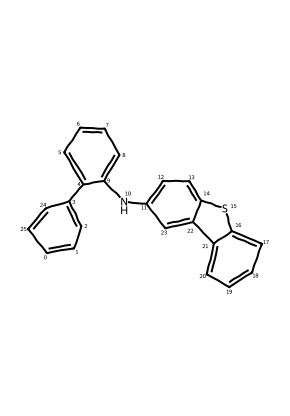 c1ccc(-c2ccccc2Nc2ccc3sc4ccccc4c3c2)cc1